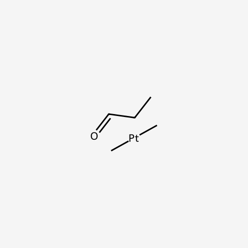 CCC=O.[CH3][Pt][CH3]